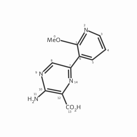 COc1ncccc1-c1cnc(N)c(C(=O)O)n1